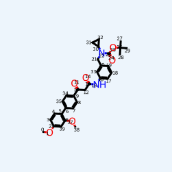 COc1ccc(-c2ccc(C(=O)CC(=O)Nc3cccc(CN(C(=O)OC(C)(C)C)C4CC4)c3)cc2)c(OC)c1